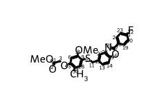 COC(=O)COc1cc(OC)c(SCc2ccc3oc(-c4ccc(F)cc4)nc3c2)cc1C